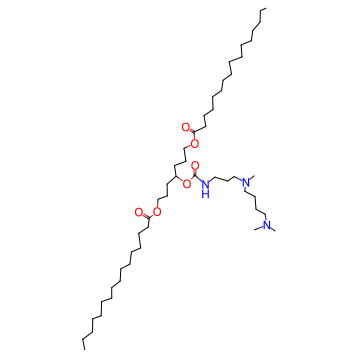 CCCCCCCCCCCCCCCC(=O)OCCCC(CCCOC(=O)CCCCCCCCCCCCCCC)OC(=O)NCCCN(C)CCCCN(C)C